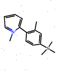 Cc1cc([Si](C)(C)C)ccc1-c1cccc[n+]1C